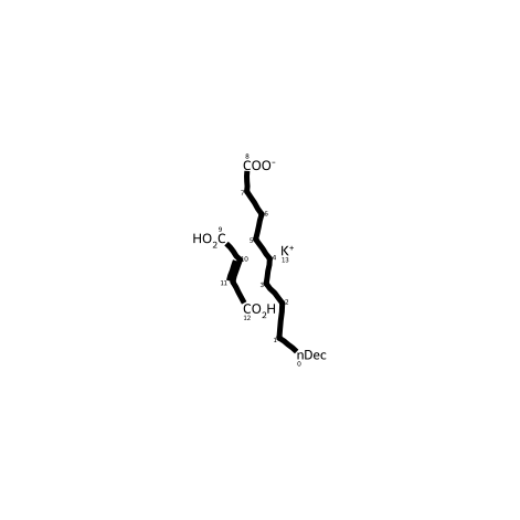 CCCCCCCCCCCCCCCCCC(=O)[O-].O=C(O)/C=C/C(=O)O.[K+]